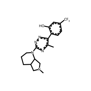 Cc1nc(N2CCCC3CN(C)CC32)nnc1-c1ccc(C(F)(F)F)cc1O